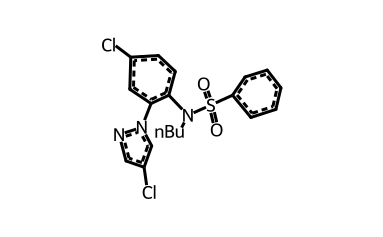 CCCCN(c1ccc(Cl)cc1-n1cc(Cl)cn1)S(=O)(=O)c1ccccc1